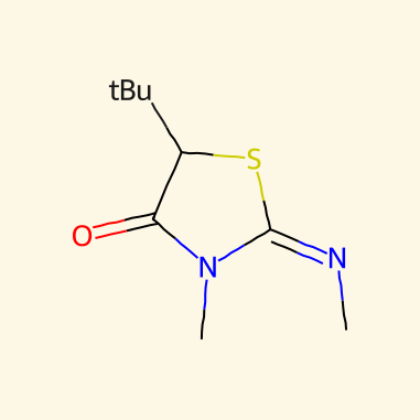 CN=C1SC(C(C)(C)C)C(=O)N1C